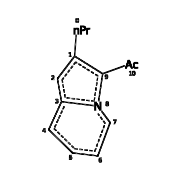 CCCc1cc2ccccn2c1C(C)=O